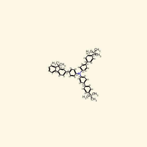 CC1(C)c2ccccc2-c2ccc(-c3ccc(N(c4ccc(-c5ccc([Si](C)(C)C)cc5)cc4)c4ccc(-c5ccc([Si](C)(C)C)cc5)cc4)cc3)cc21